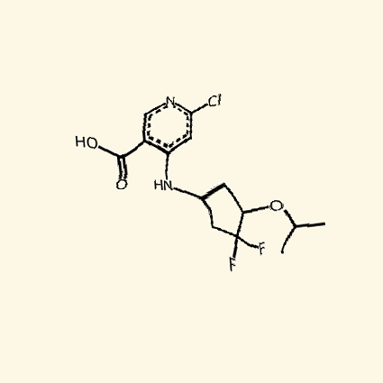 CC(C)OC1CC(Nc2cc(Cl)ncc2C(=O)O)CC1(F)F